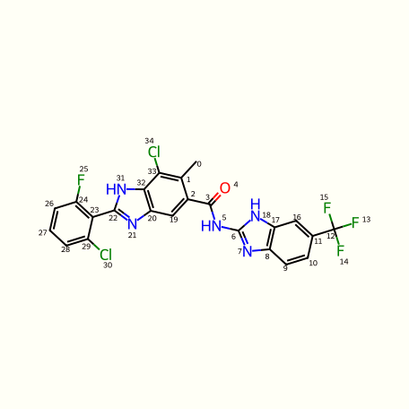 Cc1c(C(=O)Nc2nc3ccc(C(F)(F)F)cc3[nH]2)cc2nc(-c3c(F)cccc3Cl)[nH]c2c1Cl